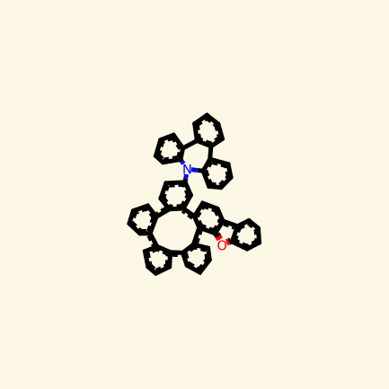 c1ccc2c(c1)-c1ccccc1N(c1ccc3c4ccccc4c4ccccc4c4ccccc4c4c(ccc5c6ccccc6oc54)c3c1)c1ccccc1-2